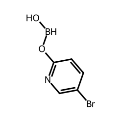 OBOc1ccc(Br)cn1